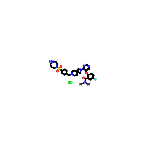 CC(C)N(C(=O)c1cc(F)ccc1Oc1cncnc1N1CC2(CCN(Cc3ccc(S(=O)(=O)N4CCCNCC4)cc3)CC2)C1)C(C)C.Cl